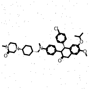 COc1cc2c(cc1OC(C)C)[C@H](c1ccc(Cl)cc1)C(c1ccc(N(C)C[C@H]3CC[C@H](N4CCN(C)C(=O)C4)CC3)cc1)C(=O)C2